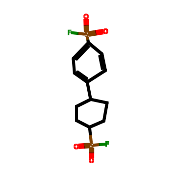 O=S(=O)(F)c1ccc(C2CCC(S(=O)(=O)F)CC2)cc1